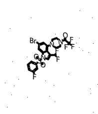 O=C(N1CCN(c2cc(Br)cc3c2c(C(F)F)cn3S(=O)(=O)c2cccc(F)c2)CC1)C(F)(F)F